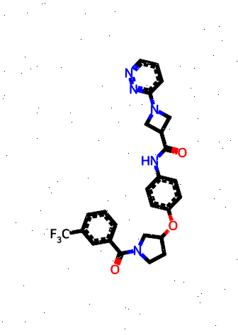 O=C(Nc1ccc(OC2CCN(C(=O)c3cccc(C(F)(F)F)c3)C2)cc1)C1CN(c2cccnn2)C1